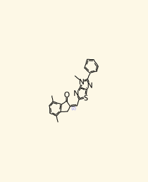 Cc1ccc(C)c2c1C/C(=C/c1nc3c(nc(-c4ccccc4)n3C)s1)C2=O